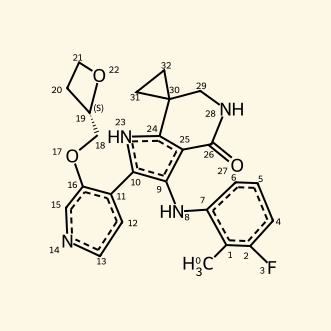 Cc1c(F)cccc1Nc1c(-c2ccncc2OC[C@@H]2CCO2)[nH]c2c1C(=O)NCC21CC1